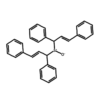 [O-][S+](C(C=Cc1ccccc1)c1ccccc1)C(C=Cc1ccccc1)c1ccccc1